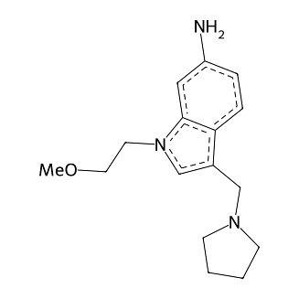 COCCn1cc(CN2CCCC2)c2ccc(N)cc21